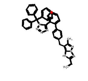 CCc1nn2nc(C)c(Cc3ccc(-c4ccccc4-c4nnnn4C(c4ccccc4)(c4ccccc4)c4ccccc4)cc3)c2[nH]1